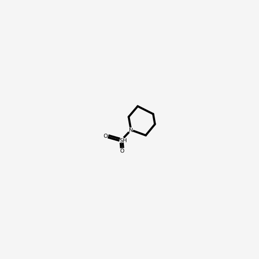 O=[SH](=O)N1CCCCC1